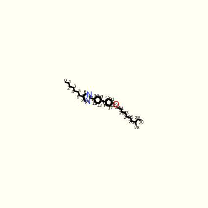 CCCCCCCc1cnc(-c2ccc(-c3ccc(OCCCCCCCC(C)CC)cc3)cc2)nc1